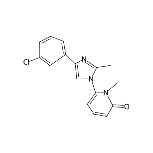 Cc1nc(-c2cccc(Cl)c2)cn1-c1cccc(=O)n1C